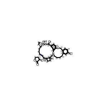 CC[C@@H]1CC/C=C/[C@H](O[C@@H]2CCOC2=O)[C@@H]2CC[C@H]2CN2CCCCc3cc(Cl)ccc3COc3ccc(cc32)C(=O)NS1(=O)=O